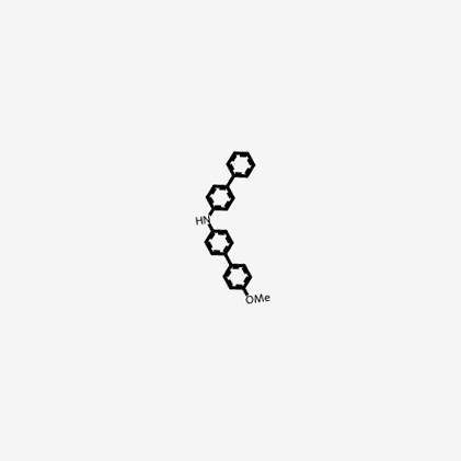 COc1ccc(-c2ccc(Nc3ccc(-c4ccccc4)cc3)cc2)cc1